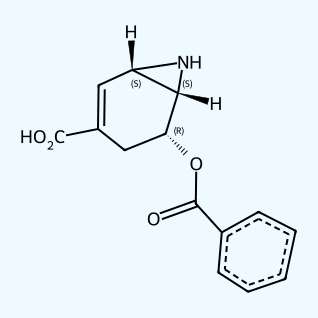 O=C(O)C1=C[C@@H]2N[C@@H]2[C@H](OC(=O)c2ccccc2)C1